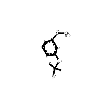 CC(C)(Br)Oc1cccc(OC(F)(F)F)c1